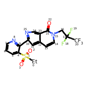 CCS(=O)(=O)c1cccnc1-c1cc2ccn(CC(F)(F)C(F)(F)F)c(=O)c2cn1